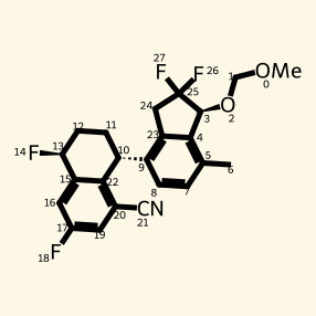 COCO[C@H]1c2c(C)ccc([C@H]3CC[C@H](F)c4cc(F)cc(C#N)c43)c2CC1(F)F